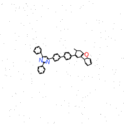 CC1CC2=C(C=C1c1ccc(-c3ccc(-c4cc(-c5ccccc5)nc(-c5ccccc5)n4)cc3)cc1)C1C=CC=CC1O2